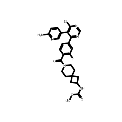 CCc1ncnc(-c2ccc(C(=O)N3CCC4(CC3)CC(NC(=O)OC(C)(C)C)C4)c(F)c2)c1-c1ccc(N)nc1